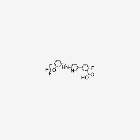 O=C(O)c1cc(-c2ccc(NCc3cccc(OC(F)(F)F)c3)nc2)ccc1F